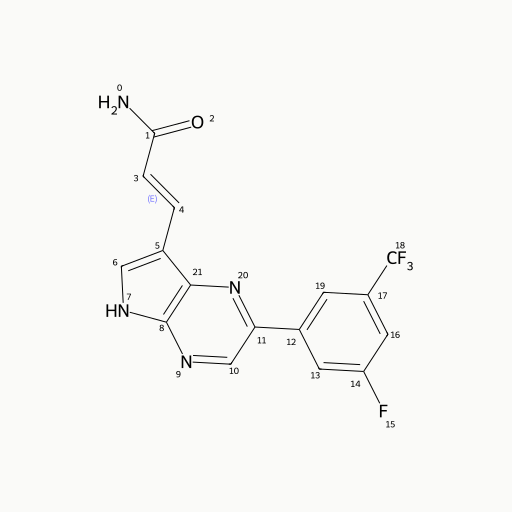 NC(=O)/C=C/c1c[nH]c2ncc(-c3cc(F)cc(C(F)(F)F)c3)nc12